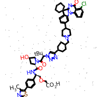 Cc1ncsc1-c1ccc([C@H](COCC(=O)O)NC(=O)[C@@H]2C[C@@H](O)CN2C(=O)[C@@H](n2cc(C3CCC(CN4CCC(c5ccc6c(c5)-n5c(nc(=O)c7c(Cl)cccc75)C65CCCCC5)CC4)CC3)nn2)C(C)(C)C)cc1